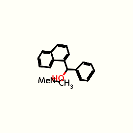 CNC.OC(c1ccccc1)c1cccc2ccccc12